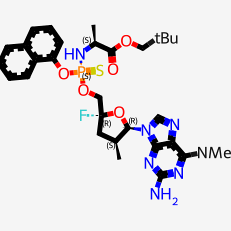 CNc1nc(N)nc2c1ncn2[C@@H]1O[C@](F)(CO[P@@](=S)(N[C@@H](C)C(=O)OCC(C)(C)C)Oc2cccc3ccccc23)C[C@@H]1C